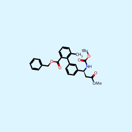 COC(=O)C[C@H](NC(=O)OC(C)(C)C)c1cccc(-c2c(C)cccc2C(=O)OCc2ccccc2)c1